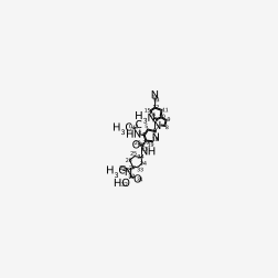 CC(C)Nc1cc(-n2ccc3cc(C#N)cnc32)ncc1C(=O)NC1CCC(N(C)C(=O)O)CC1